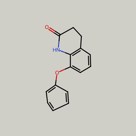 O=C1CCc2cccc(Oc3ccccc3)c2N1